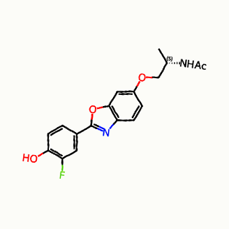 CC(=O)N[C@@H](C)COc1ccc2nc(-c3ccc(O)c(F)c3)oc2c1